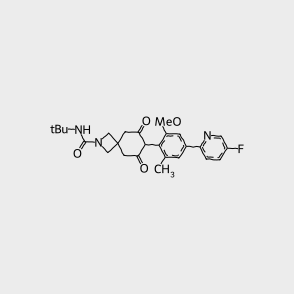 COc1cc(-c2ccc(F)cn2)cc(C)c1C1C(=O)CC2(CC1=O)CN(C(=O)NC(C)(C)C)C2